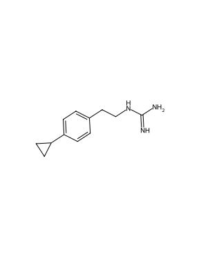 N=C(N)NCCc1ccc(C2CC2)cc1